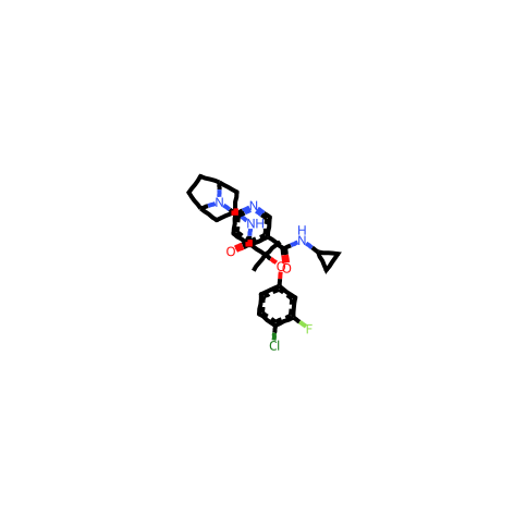 CC(C)(Oc1ccc(Cl)c(F)c1)C(=O)NC1CC2CCC(C1)N2c1ccc(C(=O)NC2CC2)cn1